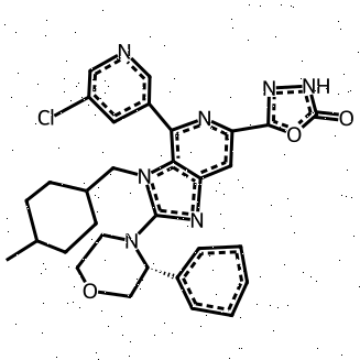 CC1CCC(Cn2c(N3CCOC[C@H]3c3ccccc3)nc3cc(-c4n[nH]c(=O)o4)nc(-c4cncc(Cl)c4)c32)CC1